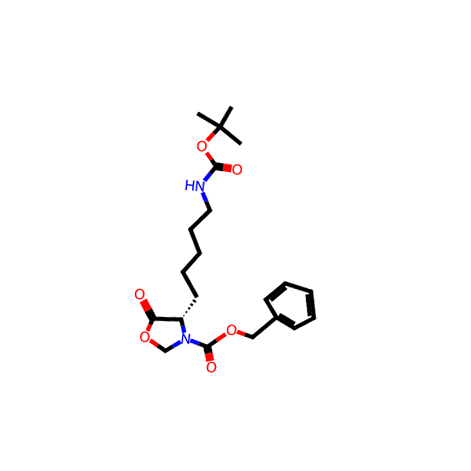 CC(C)(C)OC(=O)NCCCCC[C@H]1C(=O)OCN1C(=O)OCc1ccccc1